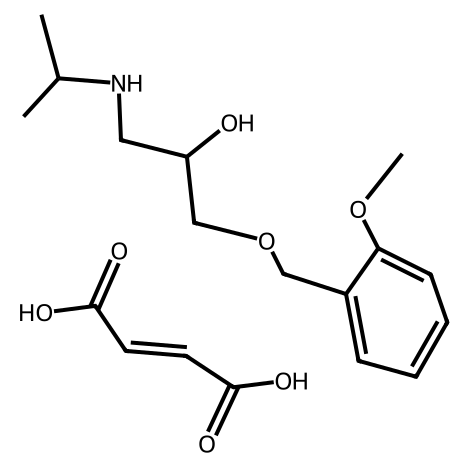 COc1ccccc1COCC(O)CNC(C)C.O=C(O)C=CC(=O)O